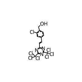 OCc1ccc(C=Cc2nc(C(Cl)(Cl)Cl)nc(C(Cl)(Cl)Cl)n2)cc1Cl